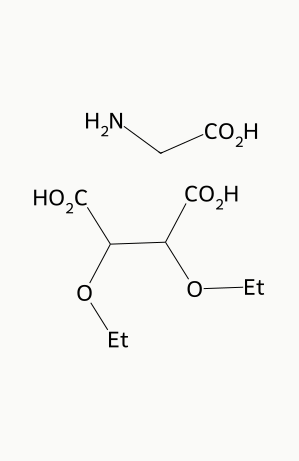 CCOC(C(=O)O)C(OCC)C(=O)O.NCC(=O)O